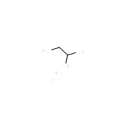 CC(O)CO.[OH].[OH]